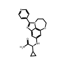 NC(=O)[C@@H](Nc1cc2c3c(c1)nc(-c1ccncc1)n3CCCO2)C1CC1